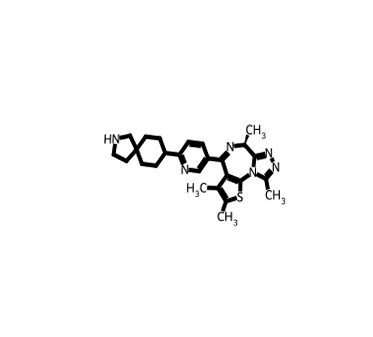 Cc1sc2c(c1C)C(c1ccc(C3CCC4(CCNC4)CC3)nc1)=N[C@@H](C)c1nnc(C)n1-2